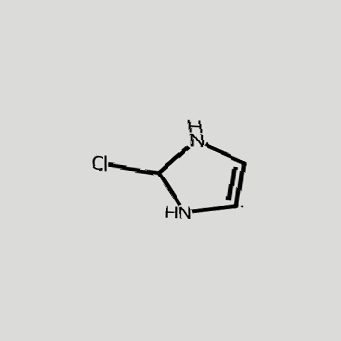 ClC1N[C]=CN1